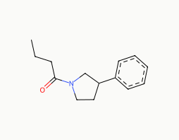 CCCC(=O)N1CCC(c2ccccc2)C1